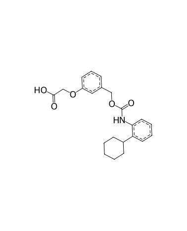 O=C(O)COc1cccc(COC(=O)Nc2ccccc2C2CCCCC2)c1